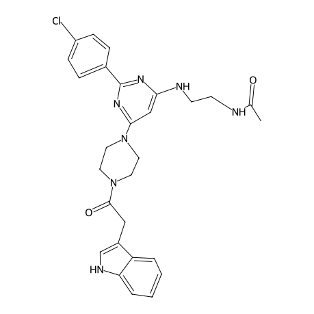 CC(=O)NCCNc1cc(N2CCN(C(=O)Cc3c[nH]c4ccccc34)CC2)nc(-c2ccc(Cl)cc2)n1